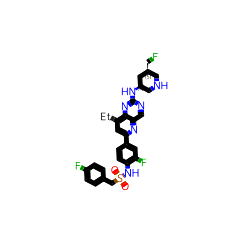 CCc1cc(-c2ccc(NS(=O)(=O)Cc3ccc(F)cc3)c(F)c2)nc2cnc(N[C@@H]3CNC[C@@H](CF)C3)nc12